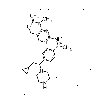 C=C1OCc2cnc(N[C@@H](C)c3ccc(C(CC4CC4)N4CCNCC4)cc3)nc2N1C